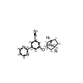 N#Cc1cc(O[C@@H]2C[C@H]3CC[C@@H](C2)N3)cc(-c2ncccn2)c1